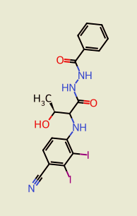 C[C@H](O)C(Nc1ccc(C#N)c(I)c1I)C(=O)NNC(=O)c1ccccc1